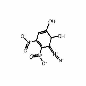 [N-]=[N+]=C1C([N+](=O)[O-])=C([N+](=O)[O-])C=C(O)C1O